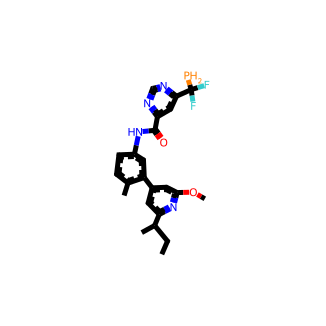 CCC(C)c1cc(-c2cc(NC(=O)c3cc(C(F)(F)P)ncn3)ccc2C)cc(OC)n1